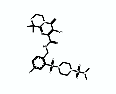 C=C1C(O)=C(C(=O)NCc2ccc(F)cc2S(=O)(=O)N2CCN(S(=O)(=O)N(C)C)CC2)N=C2N1CCOC2(C)C